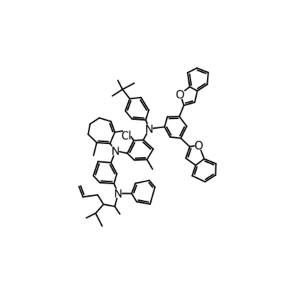 C=CCC(C(C)C)C(C)N(c1ccccc1)c1cccc(N(C2=C(C)CCCC=C2C)c2cc(C)cc(N(c3ccc(C(C)(C)C)cc3)c3cc(-c4cc5ccccc5o4)cc(-c4cc5ccccc5o4)c3)c2Cl)c1